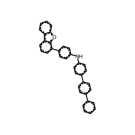 c1ccc(-c2ccc(-c3ccc(Nc4ccc(-c5cccc6c5oc5ccccc56)cc4)cc3)cc2)cc1